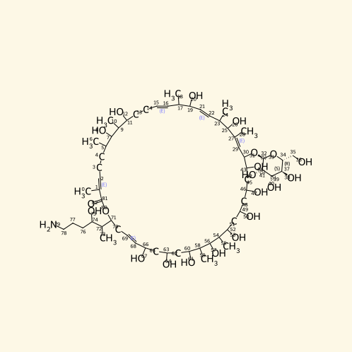 C/C1=C\CCC(C)C(O)C(C)C(O)CC/C=C/C(C)C(O)/C=C/C(C)C(O)/C(C)=C/C(O[C@H]2O[C@H](CO)[C@@H](O)[C@H](O)[C@@H]2O)C(O)CC(O)CC(O)CC(O)C(C)C(O)C(C)C(O)CC(O)CC(O)/C=C/CC(C(C)C(O)CCCN)OC1=O